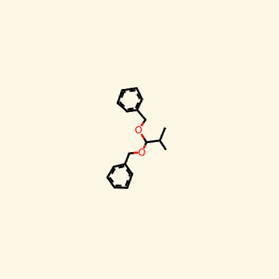 CC(C)C(OCc1ccccc1)OCc1ccccc1